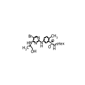 CCCCCCNS(=O)(=O)c1cc(Nc2ncc(Br)c(N[C@H](C)CO)n2)ccc1C